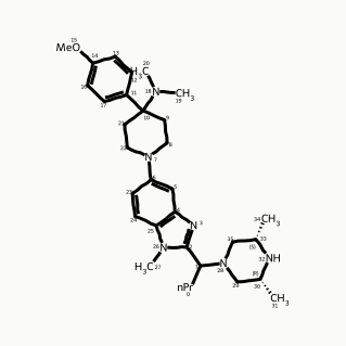 CCCC(c1nc2cc(N3CCC(c4ccc(OC)cc4)(N(C)C)CC3)ccc2n1C)N1C[C@@H](C)N[C@@H](C)C1